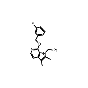 Cc1c(C)n(CC(C)C)c2c(OCc3cccc(F)c3)nccc12